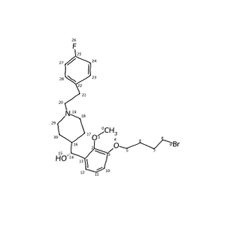 COc1c(OCCCCBr)cccc1[C@H](O)C1CCN(CCc2ccc(F)cc2)CC1